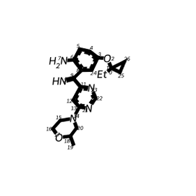 CCC1(Oc2ccc(N)c(C(=N)c3cc(N4CCOC(C)C4)ncn3)c2)CC1